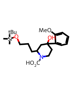 COc1ccccc1C1(O)CCN(C(=O)O)C(CCCO[Si](C)(C)C(C)(C)C)C1